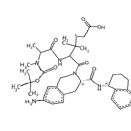 CC(C(=O)NC(C(=O)N1Cc2cc(N)ccc2C[C@H]1C(=O)N[C@@H]1CCCc2ccccc21)C(C)(C)SCC(=O)O)N(C)C(=O)OC(C)(C)C